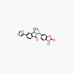 CC1c2cc(-c3cnco3)ccc2C(=O)N1Cc1ccc2[nH]c(=O)oc2c1